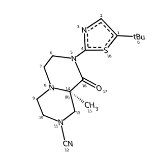 CC(C)(C)c1cnc(N2CCN3CCN(C#N)C[C@]3(C)C2=O)s1